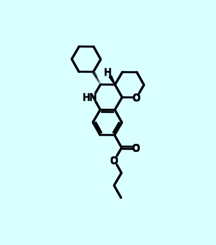 CCCOC(=O)c1ccc2c(c1)C1OCCC[C@H]1[C@@H](C1CCCCC1)N2